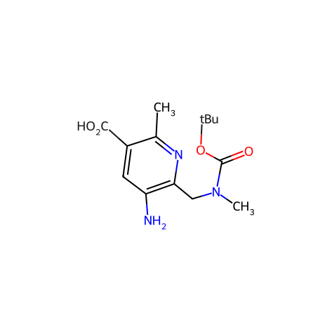 Cc1nc(CN(C)C(=O)OC(C)(C)C)c(N)cc1C(=O)O